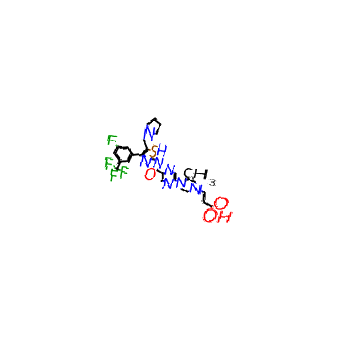 C[C@@H]1CN(CCC(=O)O)CCN1c1cnc(C(=O)Nc2nc(-c3cc(F)cc(C(F)(F)F)c3)c(CN3CCCC3)s2)cn1